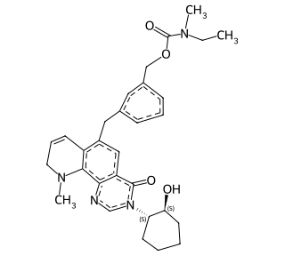 CCN(C)C(=O)OCc1cccc(Cc2cc3c(=O)n([C@H]4CCCC[C@@H]4O)cnc3c3c2C=CCN3C)c1